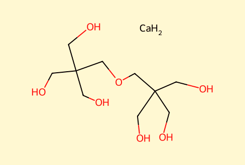 OCC(CO)(CO)COCC(CO)(CO)CO.[CaH2]